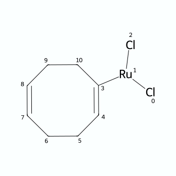 [Cl][Ru]([Cl])/[C]1=C/CC/C=C\CC1